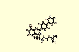 CCN(CC)CCCC(C)Nc1nc(-c2ccc(-c3ccccc3)cc2)nc2c(Cl)cccc12